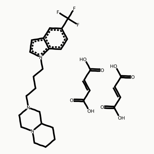 FC(F)(F)c1ccc2c(ccn2CCCCN2CCN3CCCCC3C2)c1.O=C(O)C=CC(=O)O.O=C(O)C=CC(=O)O